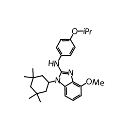 COc1cccc2c1nc(Nc1ccc(OC(C)C)cc1)n2C1CC(C)(C)CC(C)(C)C1